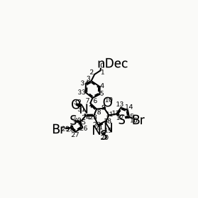 CCCCCCCCCCCCc1ccc(C2=C3C(=O)C(c4ccc(Br)s4)c4nsnc4C3=C(c3ccc(Br)s3)[N+]2=O)cc1